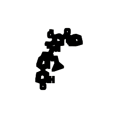 COc1cc(C(=O)N2CC3CCC2[C@@H]3C)cc2nc(-c3cc4ccc(-c5ccc(=O)[nH]c5)nc4n3CC3CC3)n(C)c12